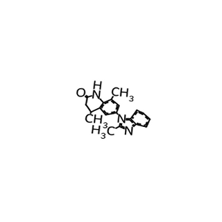 Cc1cc(-n2c(C)nc3ccccc32)cc2c1NC(=O)CC2C